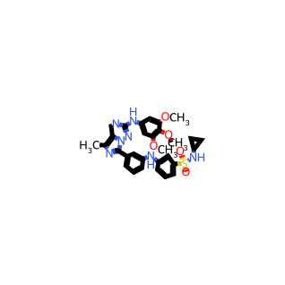 COc1cc(Nc2ncc3c(C)nc(-c4cccc(Nc5cccc(S(=O)(=O)NC6CC6)c5)c4)n3n2)cc(OC)c1OC